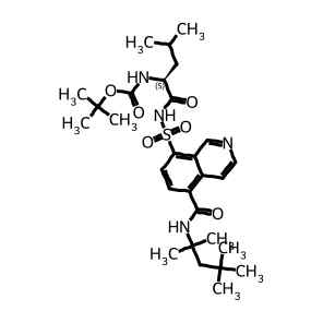 CC(C)C[C@H](NC(=O)OC(C)(C)C)C(=O)NS(=O)(=O)c1ccc(C(=O)NC(C)(C)CC(C)(C)C)c2ccncc12